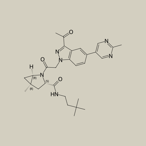 CC(=O)c1nn(CC(=O)N2[C@H](C(=O)NCCC(C)(C)C)C[C@@]3(C)C[C@@H]23)c2ccc(-c3cnc(C)nc3)cc12